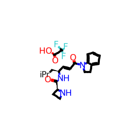 CC(C)C[C@@H](C=CC(=O)N1CCc2ccccc21)NC(=O)[C@@H]1CCN1.O=C(O)C(F)(F)F